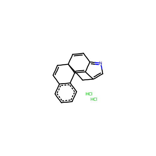 C1=CC23C=Cc4ccccc4C2=C2C(=CN=C12)C3.Cl.Cl